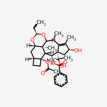 C=C[C@@H]1O[C@H]2C[C@H]3CC[C@@]3(OC(C)=O)[C@H]3[C@H](OC(=O)c4ccccc4)[C@]4(C(C)(C)O)C[C@H](O)C(C)=C4[C@H](C)[C@H](O1)[C@]23C